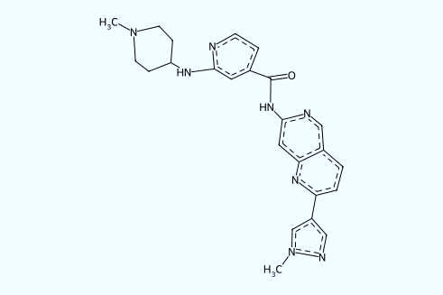 CN1CCC(Nc2cc(C(=O)Nc3cc4nc(-c5cnn(C)c5)ccc4cn3)ccn2)CC1